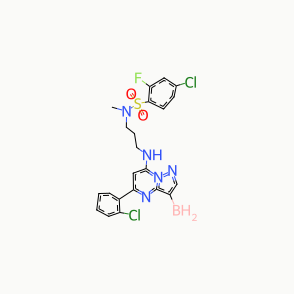 Bc1cnn2c(NCCCN(C)S(=O)(=O)c3ccc(Cl)cc3F)cc(-c3ccccc3Cl)nc12